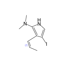 C/C=C\c1c(I)c[nH]c1N(C)C